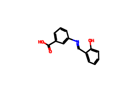 O=C(O)c1cccc(N=Cc2ccccc2O)c1